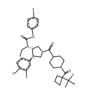 CCN(C(=O)Oc1ccc(F)cc1)[C@@H]1CN(C(=O)C2CCN(C(=O)C3(C(F)(F)F)CCC3)CC2)C[C@H]1c1ccc(Cl)c(F)c1